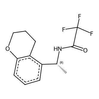 C[C@@H](NC(=O)C(F)(F)F)c1cccc2c1CCCO2